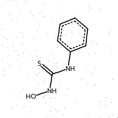 ONC(=S)Nc1ccccc1